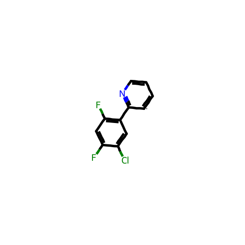 Fc1cc(F)c(-c2[c]cccn2)cc1Cl